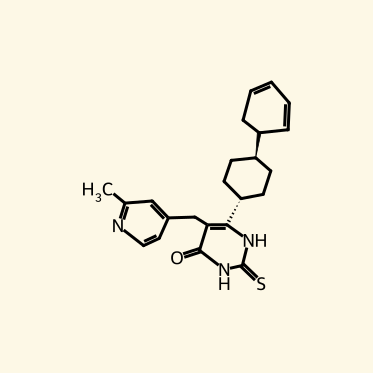 Cc1cc(Cc2c(=O)[nH]c(=S)[nH]c2[C@H]2CC[C@H](C3C=CC=CC3)CC2)ccn1